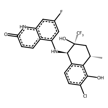 C[C@H]1C[C@@](O)(C(F)(F)F)[C@H](Nc2cc(F)cc3[nH]c(=O)ccc23)c2ccc(Cl)c(O)c21